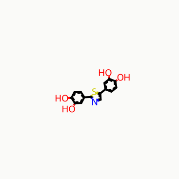 Oc1ccc(-c2cnc(-c3ccc(O)c(O)c3)s2)cc1O